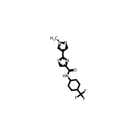 Cn1cc(-c2nc(C(=O)NC3CCC(C(F)(F)F)CC3)cs2)cn1